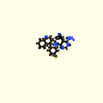 C[C@H](Nc1ncnc(N)c1C#N)c1cnc2ccccc2c1-c1ccc(F)cc1